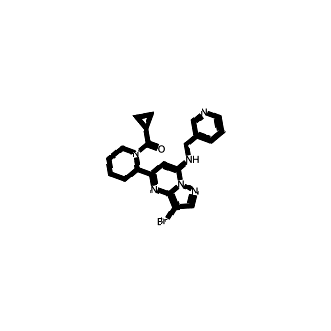 O=C(C1CC1)N1CCCCC1c1cc(NCc2cccnc2)n2ncc(Br)c2n1